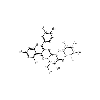 C[C@@H]1O[C@@H](O[C@H]2[C@H](Oc3c(-c4ccc(O)c(O)c4)oc4cc(O)cc(O)c4c3=O)O[C@H](CO)[C@@H](O)[C@@H]2O)[C@H](O)[C@H](O)[C@H]1O